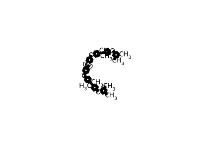 Cc1cc(C)cc(Oc2ccc(C(C)(C)c3ccc(Oc4ccc(S(=O)(=O)c5ccc(Oc6ccc(C(C)(C)c7ccc(Oc8cc(C)cc(C)c8)cc7)cc6)cc5)cc4)cc3)cc2)c1